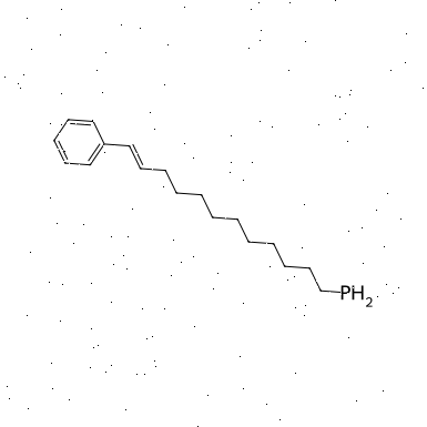 PCCCCCCCCCCC=Cc1ccccc1